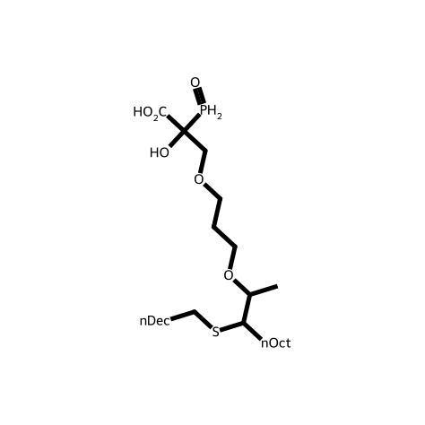 CCCCCCCCCCCSC(CCCCCCCC)C(C)OCCCOCC(O)([PH2]=O)C(=O)O